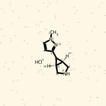 Cl.Cn1ccc(C2[C@H]3CNC[C@@H]23)n1